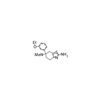 CCOc1cccc(C2(NC)CCc3nc(N)sc3C2)c1